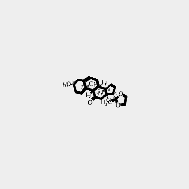 CC1([C@H]2CC[C@H]3[C@@H]4CC=C5C[C@@H](O)CC[C@]5(C)[C@H]4C(=O)C[C@]23C)OCCO1